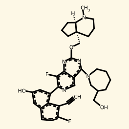 C#Cc1c(F)ccc2cc(O)cc(-c3ncc4c(N5CCCCC(CO)C5)nc(OC[C@]56CCC[C@H]5N(C)CCC6)nc4c3F)c12